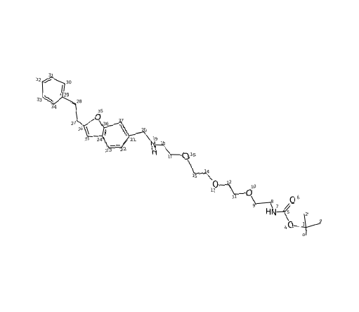 CC(C)(C)OC(=O)NCCOCCOCCOCCNCc1ccc2cc(CCc3ccccc3)oc2c1